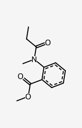 CCC(=O)N(C)c1ccccc1C(=O)OC